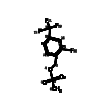 CS(=O)(=O)OCc1ncc(C(F)(F)F)cc1F